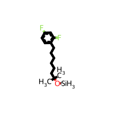 CC(C)(CCCCCCc1ccc(F)cc1F)O[SiH3]